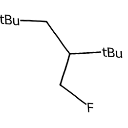 CC(C)(C)CC(CF)C(C)(C)C